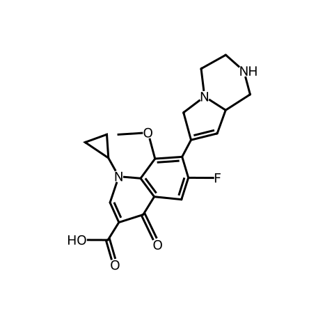 COc1c(C2=CC3CNCCN3C2)c(F)cc2c(=O)c(C(=O)O)cn(C3CC3)c12